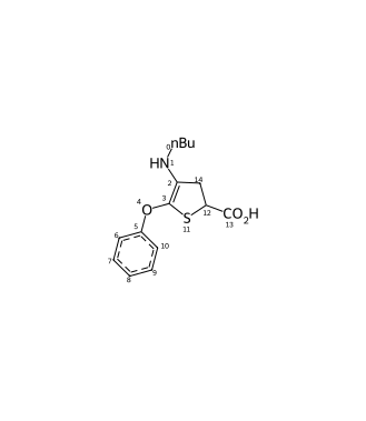 CCCCNC1=C(Oc2ccccc2)SC(C(=O)O)C1